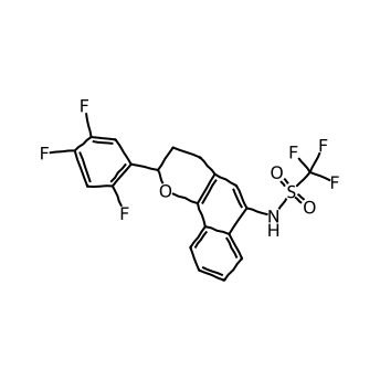 O=S(=O)(Nc1cc2c(c3ccccc13)OC(c1cc(F)c(F)cc1F)CC2)C(F)(F)F